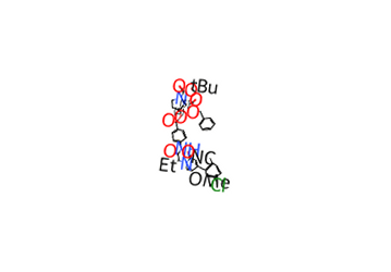 CCC(C(=O)Nc1ccc(C(=O)O[C@H]2CCN(C(=O)OC(C)(C)C)[C@@H]2C(=O)OCc2ccccc2)cc1)n1cc(OC)c(-c2cc(Cl)ccc2C#N)cc1=O